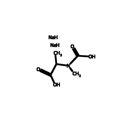 CC(C(=O)O)N(C)C(=O)O.[NaH].[NaH]